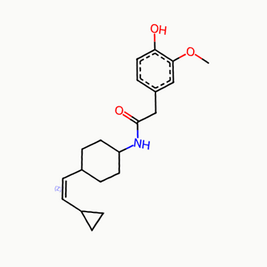 COc1cc(CC(=O)NC2CCC(/C=C\C3CC3)CC2)ccc1O